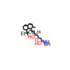 CCCNC(=O)CC(O)CC(O)CCC1C(C)C=CC2=CCCC(C(C)(CC)C(=O)O)C21